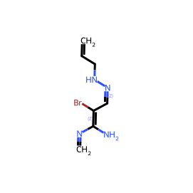 C=CCN/N=C\C(Br)=C(/N)N=C